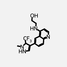 CN1NC=C(c2ccc3nccc(NCCO)c3c2)C1C(F)(F)F